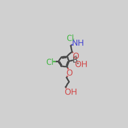 OCCCOc1cc(Cl)cc2c1B(O)OC2CNCl